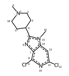 CN1CCC(c2nc3c(Cl)nc(Cl)cc3n2C)CC1